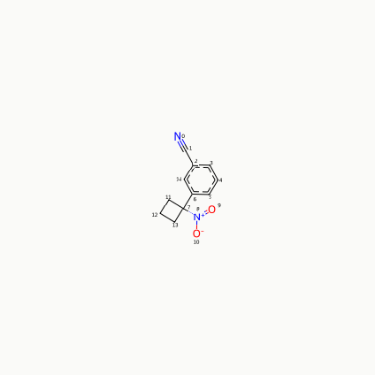 N#Cc1cccc(C2([N+](=O)[O-])CCC2)c1